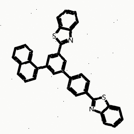 c1ccc2c(-c3cc(-c4ccc(-c5nc6ccccc6s5)cc4)cc(-c4nc5ccccc5s4)c3)cccc2c1